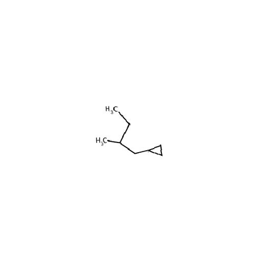 CCC(C)C[C]1CC1